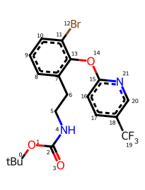 CC(C)(C)OC(=O)NCCc1cccc(Br)c1Oc1ccc(C(F)(F)F)cn1